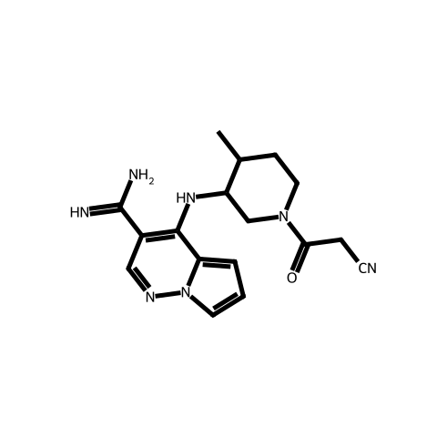 CC1CCN(C(=O)CC#N)CC1Nc1c(C(=N)N)cnn2cccc12